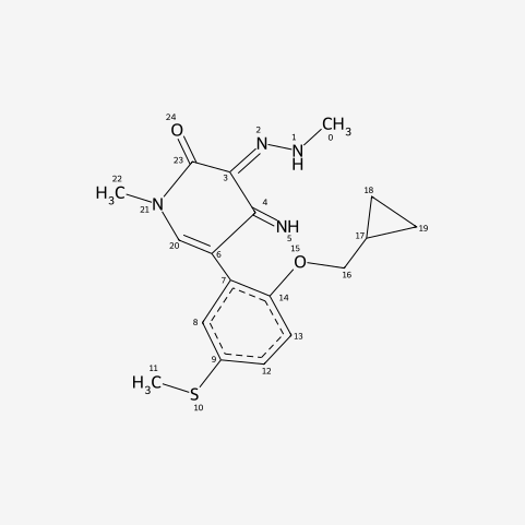 CN/N=C1\C(=N)C(c2cc(SC)ccc2OCC2CC2)=CN(C)C1=O